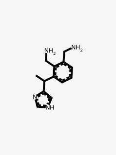 CC(c1c[nH]cn1)c1cccc(CN)c1CN